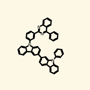 c1ccc(-c2nc(-c3cccc(-n4c5ccccc5c5cc(-c6ccc7c8ccccc8n(-c8ccccc8)c7c6)ccc54)c3)nc3ccccc23)cc1